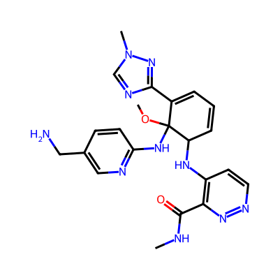 CNC(=O)c1nnccc1NC1C=CC=C(c2ncn(C)n2)C1(Nc1ccc(CN)cn1)OC